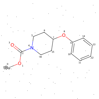 CC(C)(C)OC(=O)N1CCC(Oc2c[c]ccc2)CC1